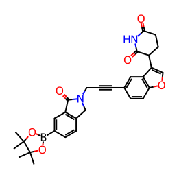 CC1(C)OB(c2ccc3c(c2)C(=O)N(CC#Cc2ccc4occ(C5CCC(=O)NC5=O)c4c2)C3)OC1(C)C